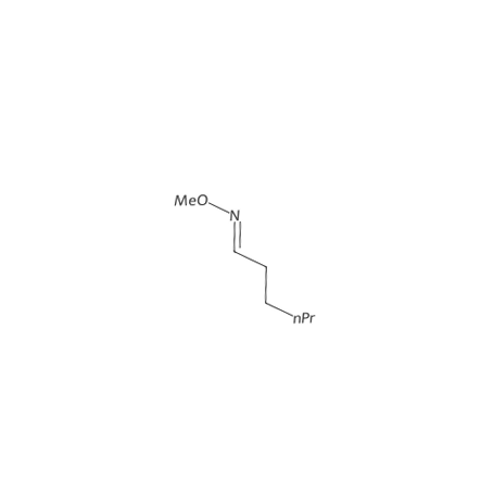 CCCCC/C=N/OC